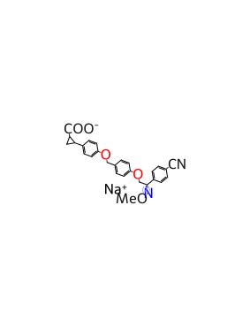 CO/N=C(\COc1ccc(COc2ccc(C3CC3C(=O)[O-])cc2)cc1)c1ccc(C#N)cc1.[Na+]